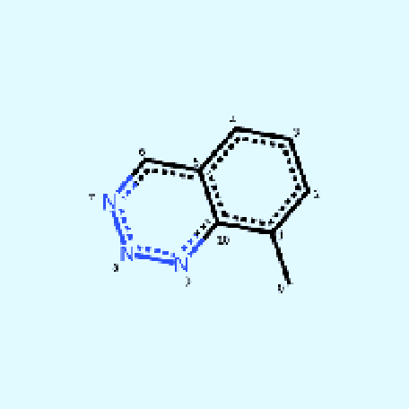 Cc1cccc2cnnnc12